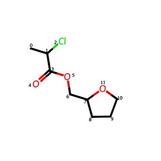 CC(Cl)C(=O)OCC1CCCO1